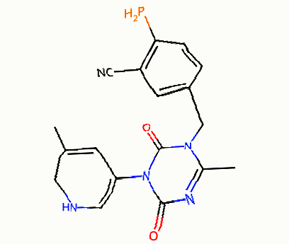 CC1=CC(n2c(=O)nc(C)n(Cc3ccc(P)c(C#N)c3)c2=O)=CNC1